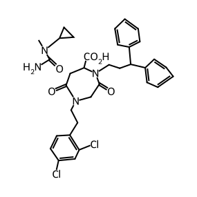 CN(C(N)=O)C1CC1.O=C(O)C1CC(=O)N(CCc2ccc(Cl)cc2Cl)CC(=O)N1CCC(c1ccccc1)c1ccccc1